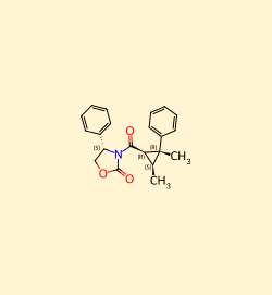 C[C@H]1[C@@H](C(=O)N2C(=O)OC[C@@H]2c2ccccc2)[C@]1(C)c1ccccc1